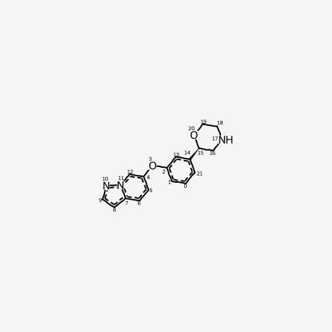 c1cc(Oc2ccc3ccnn3c2)cc([C@@H]2CNCCO2)c1